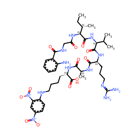 CC[C@H](C)[C@H](NC(=O)CNC(=O)c1ccccc1N)C(=O)N[C@H](C(=O)N[C@@H](CCCN=C(N)N)C(=O)N[C@@H](C)C(=O)N[C@@H](CCCCNc1ccc([N+](=O)[O-])cc1[N+](=O)[O-])C(=O)O)C(C)C